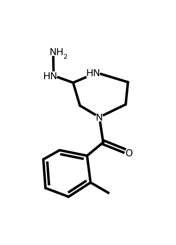 Cc1ccccc1C(=O)N1CCNC(NN)C1